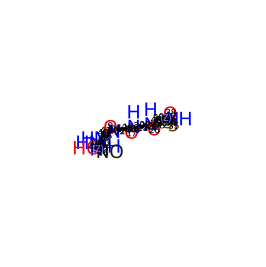 N=C1C(Nc2ccc(C(=O)NCCCCCC(=O)NCCCCCNC(=O)c3ccc(/C=C4\SC(=S)NC4=O)cc3)cc2)=CC=C(N=O)/C1=N/O